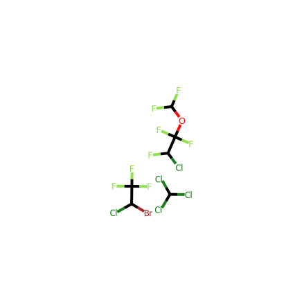 ClC(Cl)Cl.FC(F)(F)C(Cl)Br.FC(F)OC(F)(F)C(F)Cl